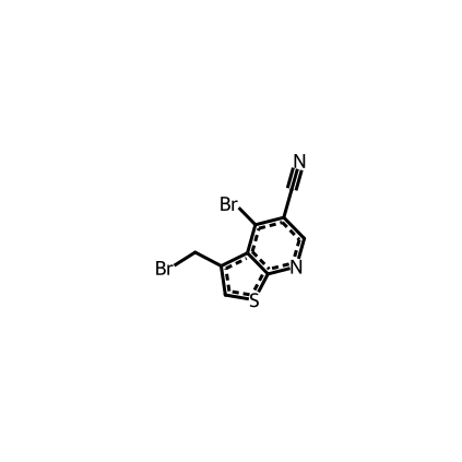 N#Cc1cnc2scc(CBr)c2c1Br